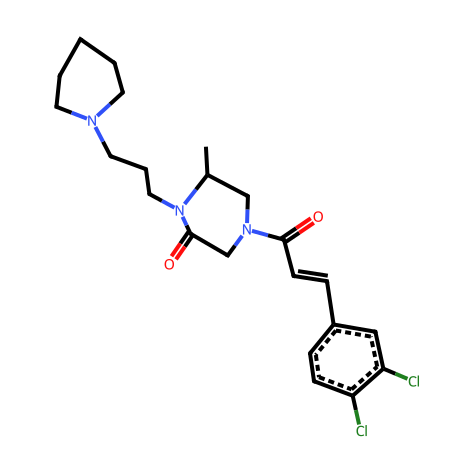 CC1CN(C(=O)C=Cc2ccc(Cl)c(Cl)c2)CC(=O)N1CCCN1CCCCC1